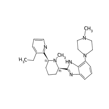 CCc1cccnc1[C@@H]1CCC[C@H](c2nc3cccc(N4CCN(C)CC4)c3[nH]2)N1C